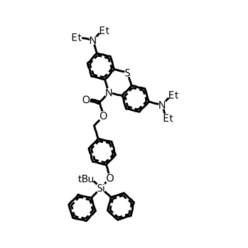 CCN(CC)c1ccc2c(c1)Sc1cc(N(CC)CC)ccc1N2C(=O)OCc1ccc(O[Si](c2ccccc2)(c2ccccc2)C(C)(C)C)cc1